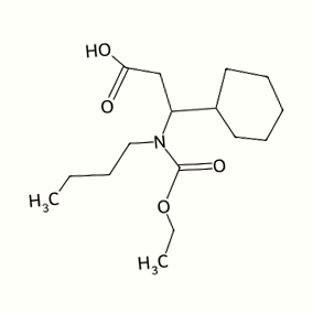 CCCCN(C(=O)OCC)C(CC(=O)O)C1CCCCC1